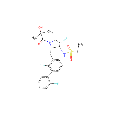 CCS(=O)(=O)N[C@H]1[C@@H](F)CN(C(=O)C(C)(C)O)[C@H]1Cc1cccc(-c2ccccc2F)c1F